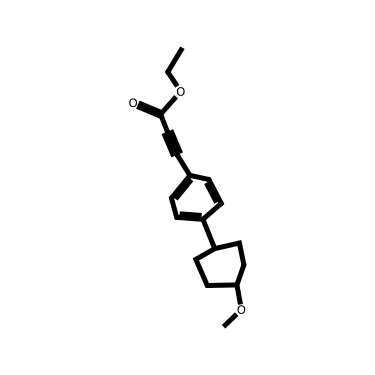 CCOC(=O)C#Cc1ccc(C2CCC(OC)CC2)cc1